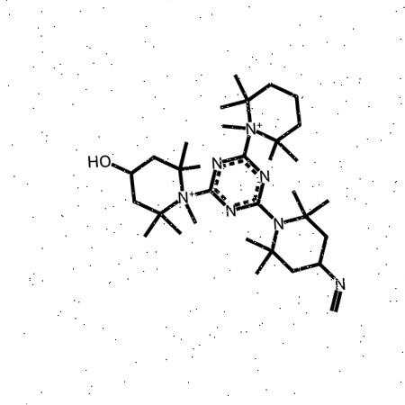 C=NC1CC(C)(C)N(c2nc([N+]3(C)C(C)(C)CCCC3(C)C)nc([N+]3(C)C(C)(C)CC(O)CC3(C)C)n2)C(C)(C)C1